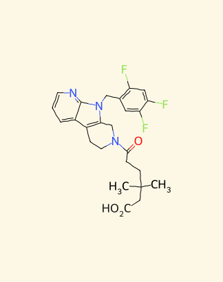 CC(C)(CCC(=O)N1CCc2c(n(Cc3cc(F)c(F)cc3F)c3ncccc23)C1)CC(=O)O